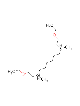 CCOCC[SiH](C)CCCCCC[SiH](C)CCOCC